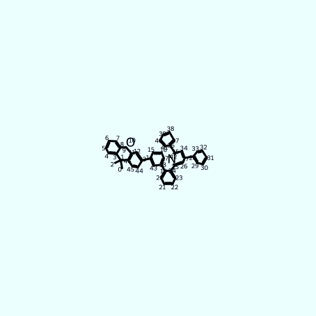 CC1(C)c2ccccc2C(=O)c2cc(-c3cccc(-c4ccccc4-c4cc(-c5ccccc5)cc(-c5ccccc5)n4)c3)ccc21